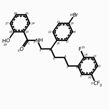 O=C(NCC(CCCc1cc(C(F)(F)F)ccc1F)c1ccc(Br)cc1)c1ccccc1O